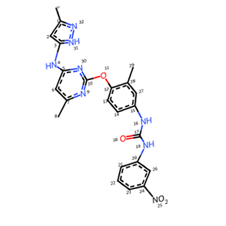 Cc1cc(Nc2cc(C)nc(Oc3ccc(NC(=O)Nc4cccc([N+](=O)[O-])c4)cc3C)n2)[nH]n1